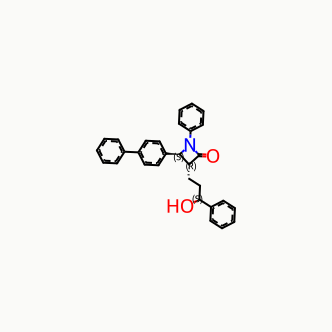 O=C1[C@H](CC[C@H](O)c2ccccc2)[C@@H](c2ccc(-c3ccccc3)cc2)N1c1ccccc1